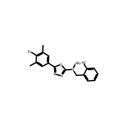 CCCCN(Cc1ccccc1C#N)c1nnc(-c2cc(C)c(CC)c(C)c2)s1